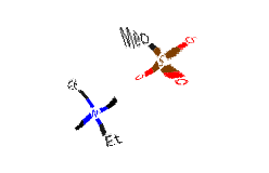 CC[N+](C)(C)CC.COS(=O)(=O)[O-]